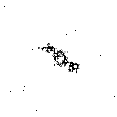 CO[C@H]1[C@H]2OP(=O)(O)OC[C@H]3O[C@@H](n4cc5c6c(ncnc64)NCCC5)[C@H](F)[C@@H]3OP(=O)(S)OC[C@H]1O[C@H]2n1cnc2c(=O)n(CCO)cnc21